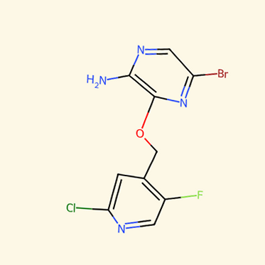 Nc1ncc(Br)nc1OCc1cc(Cl)ncc1F